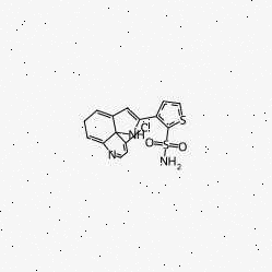 NS(=O)(=O)c1sccc1C1=CC2=CCC=C3N=CC=C(Cl)C23N1